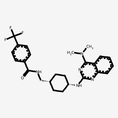 CN(C)c1nc(N[C@H]2CC[C@@H](CNC(=O)c3ccc(C(F)(F)F)cc3)CC2)nc2ccccc12